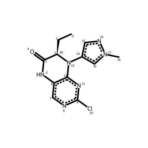 CC[C@@H]1C(=O)Nc2cnc(Cl)nc2N1c1cnn(C)c1